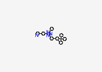 c1ccc(-c2nc(-c3ccc(-c4cccnc4)cc3)nc(-c3cccc(-c4ccc5c(c4)-c4ccccc4C5(c4ccccc4)c4ccccc4)c3)n2)cc1